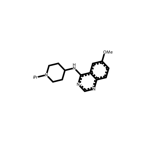 COc1ccc2ncnc(NC3CCN(C(C)C)CC3)c2c1